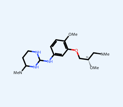 CNC[C@@H](COc1cc(NC2NCCC(NC)N2)ccc1OC)OC